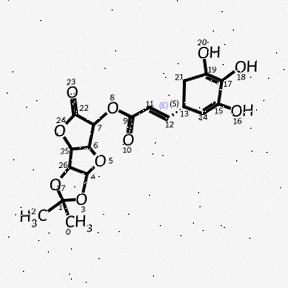 CC1(C)OC2OC3C(OC(=O)/C=C/[C@H]4C=C(O)C(O)=C(O)C4)C(=O)OC3C2O1